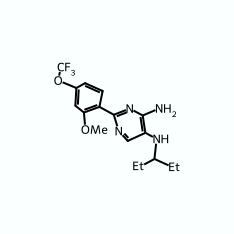 CCC(CC)Nc1cnc(-c2ccc(OC(F)(F)F)cc2OC)nc1N